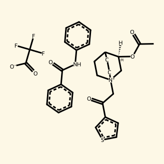 CC(=O)O[C@H]1C[N+]2(CC(=O)c3ccsc3)CCC1CC2.O=C(Nc1ccccc1)c1ccccc1.O=C([O-])C(F)(F)F